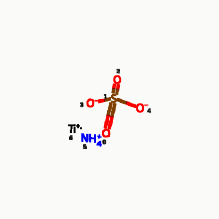 O=S(=O)([O-])[O-].[NH4+].[Ti+]